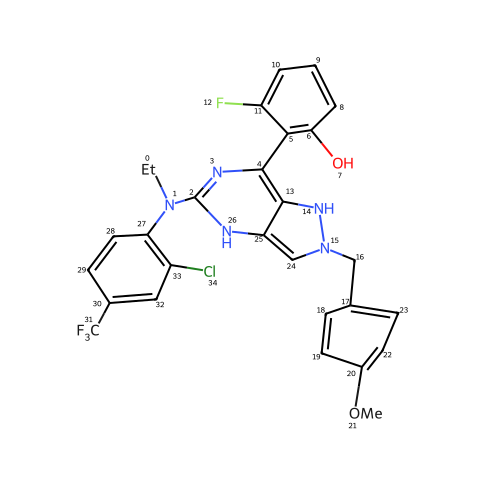 CCN(C1=NC(c2c(O)cccc2F)=C2NN(Cc3ccc(OC)cc3)C=C2N1)c1ccc(C(F)(F)F)cc1Cl